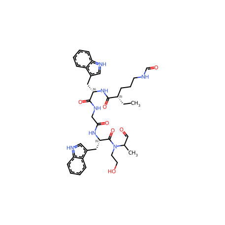 CC[C@@H](CCCNC=O)C(=O)N[C@@H](Cc1c[nH]c2ccccc12)C(=O)NCC(=O)N[C@@H](Cc1c[nH]c2ccccc12)C(=O)N(CCO)C(C)C=O